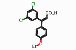 CCOc1ccc(C(=CC(=O)O)c2cc(Cl)cc(Cl)c2)cc1